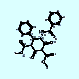 COC(=O)C1C(=O)C(C(=O)OC)[C@@H](c2ccccc2)[C@H](NC(=O)c2ccccc2)C1=O